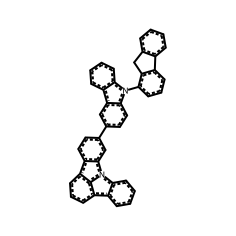 c1ccc2c(c1)Cc1c-2cccc1-n1c2ccccc2c2cc(-c3ccc4c5cccc6c7ccccc7n(c4c3)c65)ccc21